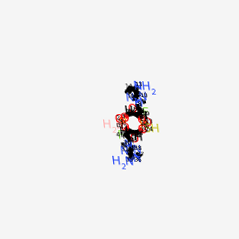 B[P@]1(=O)OC[C@H]2O[C@@H](n3cnc4c(N)ccnc43)[C@H](F)[C@@H]2O[P@@](=O)(S)OC[C@H]2O[C@@H](n3cnc4c(N)ncnc43)[C@H](F)[C@@H]2O1